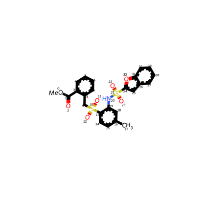 COC(=O)c1ccccc1CS(=O)(=O)c1ccc(C)cc1NS(=O)(=O)c1cc2ccccc2o1